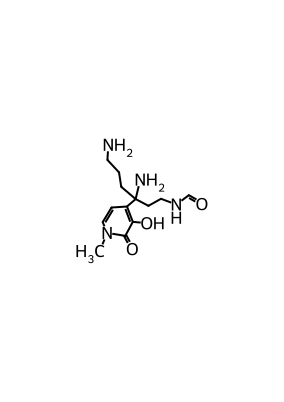 Cn1ccc(C(N)(CCCN)CCNC=O)c(O)c1=O